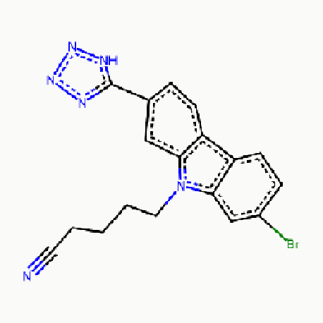 N#CCCCCn1c2cc(Br)ccc2c2ccc(-c3nnn[nH]3)cc21